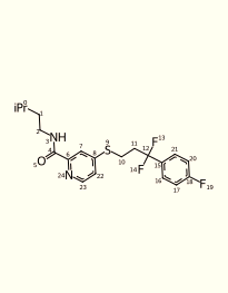 CC(C)CCNC(=O)c1cc(SCCC(F)(F)c2ccc(F)cc2)ccn1